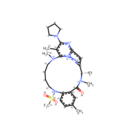 CC[C@H]1c2cc3nc(N4CCCC4)c(C)c(n3n2)N(C)CCCCN(S(=O)(=O)C(F)(F)F)c2ccc(C)cc2C(=O)N1C